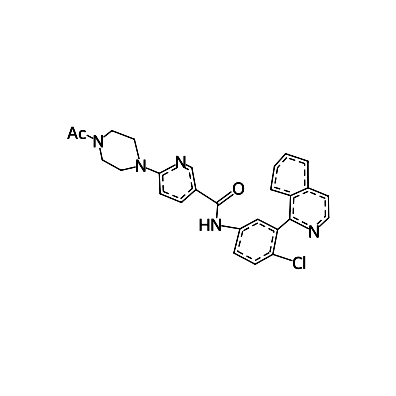 CC(=O)N1CCN(c2ccc(C(=O)Nc3ccc(Cl)c(-c4nccc5ccccc45)c3)cn2)CC1